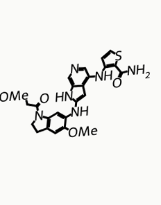 COCC(=O)N1CCc2cc(OC)c(Nc3cc4c(Nc5ccsc5C(N)=O)cncc4[nH]3)cc21